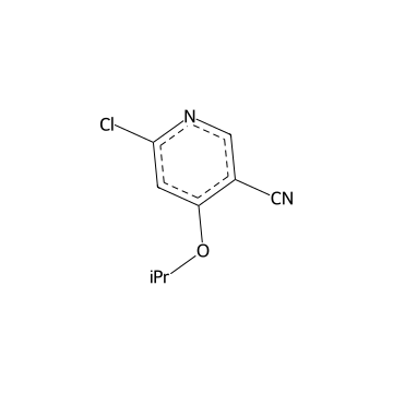 CC(C)Oc1cc(Cl)ncc1C#N